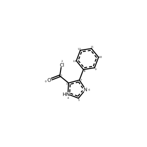 O=C(Cl)c1[nH]cnc1-c1ccccc1